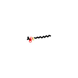 C=C(C)C(=O)OSCCCCCCCCCCCC